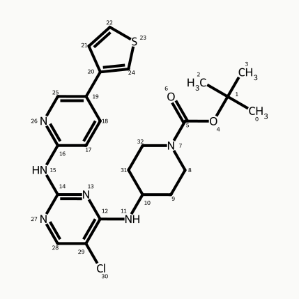 CC(C)(C)OC(=O)N1CCC(Nc2nc(Nc3ccc(-c4ccsc4)cn3)ncc2Cl)CC1